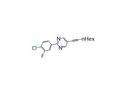 CCCCCCC#Cc1cnc(-c2ccc(Cl)c(F)c2)nc1